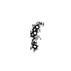 CC[C@]12CC[C@@](C)(O)C[C@@H]1CC[C@H]1[C@@H]3CC[C@H](C(=O)Cn4nc5ccc(F)c(F)c5n4)[C@@]3(C)CC[C@@H]12